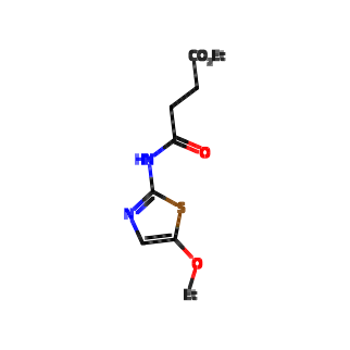 CCOC(=O)CCC(=O)Nc1ncc(OCC)s1